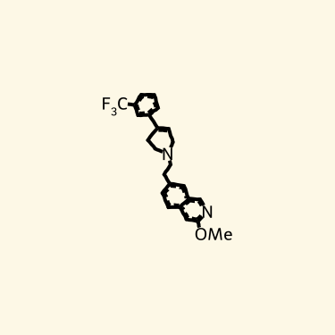 COc1cc2ccc(CCN3CC=C(c4cccc(C(F)(F)F)c4)CC3)cc2cn1